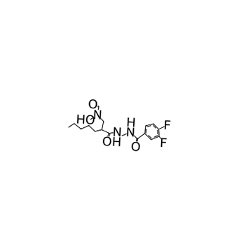 CCCCCC(CN(O)C=O)C(=O)NCNC(=O)c1ccc(F)c(F)c1